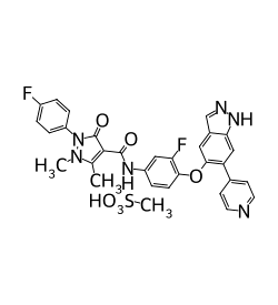 CS(=O)(=O)O.Cc1c(C(=O)Nc2ccc(Oc3cc4cn[nH]c4cc3-c3ccncc3)c(F)c2)c(=O)n(-c2ccc(F)cc2)n1C